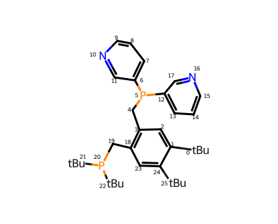 CC(C)(C)c1cc(CP(c2cccnc2)c2cccnc2)c(CP(C(C)(C)C)C(C)(C)C)cc1C(C)(C)C